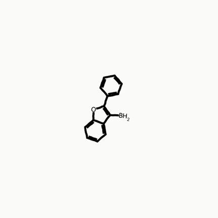 Bc1c(-c2ccccc2)oc2ccccc12